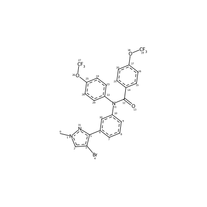 Cn1cc(Br)c(-c2cccc(N(C(=O)c3ccc(OC(F)(F)F)cc3)c3ccc(OC(F)(F)F)cc3)c2)n1